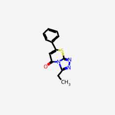 CCc1nnc2sc(-c3ccccc3)cc(=O)n12